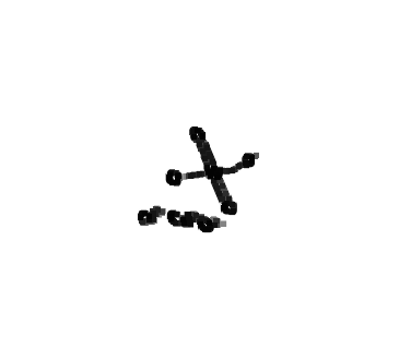 [Cd+2].[Cd+2].[O-2].[O]=[W](=[O])([O-])[O-]